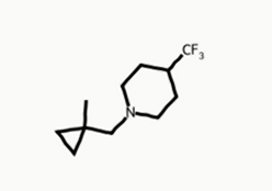 CC1(CN2CCC(C(F)(F)F)CC2)CC1